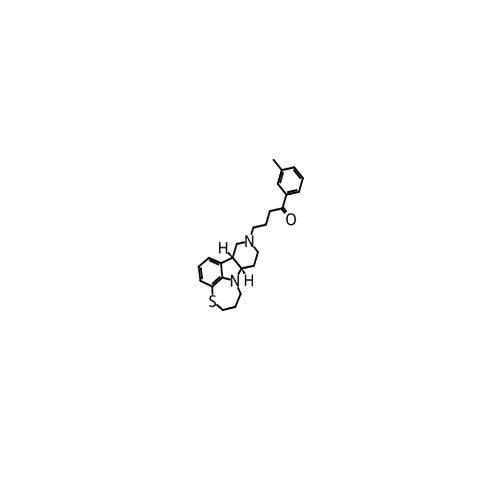 Cc1cccc(C(=O)CCCN2CC[C@H]3[C@@H](C2)c2cccc4c2N3CCCS4)c1